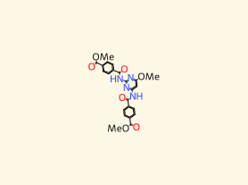 COC(=O)c1ccc(C(=O)Nc2cc(OC)nc(NC(=O)c3ccc(C(=O)OC)cc3)n2)cc1